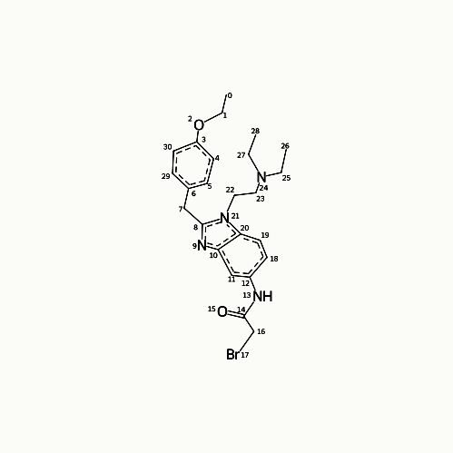 CCOc1ccc(Cc2nc3cc(NC(=O)CBr)ccc3n2CCN(CC)CC)cc1